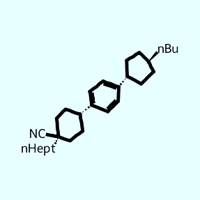 CCCCCCC[C@]1(C#N)CC[C@H](c2ccc([C@H]3CC[C@H](CCCC)CC3)cc2)CC1